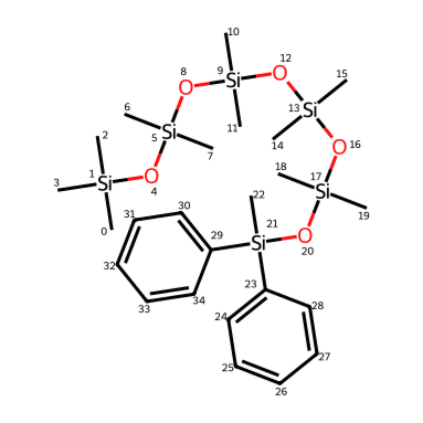 C[Si](C)(C)O[Si](C)(C)O[Si](C)(C)O[Si](C)(C)O[Si](C)(C)O[Si](C)(c1ccccc1)c1ccccc1